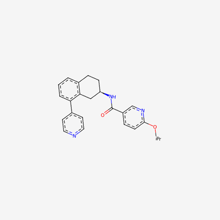 CC(C)Oc1ccc(C(=O)N[C@@H]2CCc3cccc(-c4ccncc4)c3C2)cn1